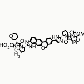 COC(=O)NC(C(=O)N1[C@@H](C)CC[C@H]1c1ncc(-c2ccc3c(c2)COc2cc4c(ccc5nc([C@@H]6CC[C@H](C)N6C(=O)C(NC(=O)O)[C@H]6CCCOC6)[nH]c54)cc2-3)[nH]1)C(C)C